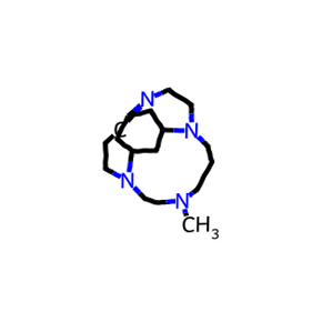 CN1CCCN2CCN3CCCN(CC1)C1CC2CC3C1